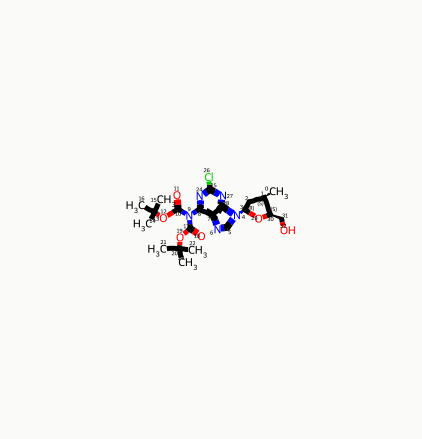 C[C@H]1C[C@H](n2cnc3c(N(C(=O)OC(C)(C)C)C(=O)OC(C)(C)C)nc(Cl)nc32)O[C@@H]1CO